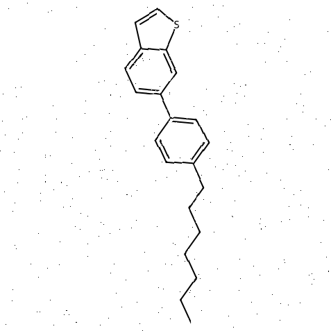 CCCCCCCc1ccc(-c2ccc3ccsc3c2)cc1